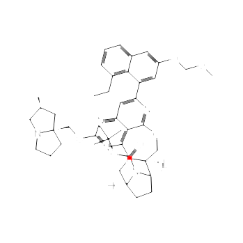 CCc1cccc2cc(OCOC)cc(-c3cc4nc(OC[C@@]56CCCN5C[C@@H](F)C6)nc5c4c(n3)OC[C@H]3[C@H]4CC[C@@H](CN53)N4C(=O)OC(C)(C)C)c12